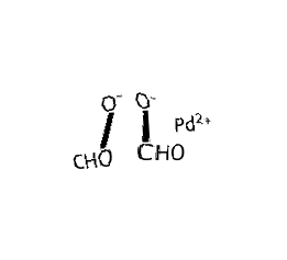 O=C[O-].O=C[O-].[Pd+2]